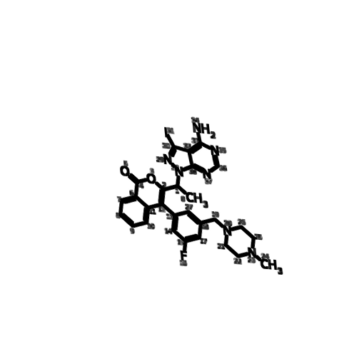 CC(c1oc(=O)c2ccccc2c1-c1cc(F)cc(CN2CCN(C)CC2)c1)n1nc(I)c2c(N)ncnc21